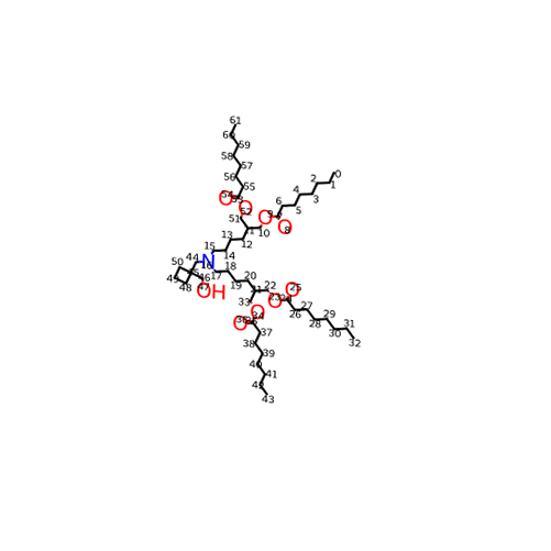 CCCCCCCC(=O)OCC(CCCCN(CCCCC(COC(=O)CCCCCCC)COC(=O)CCCCCCC)CC1(CO)CCC1)COC(=O)CCCCCCC